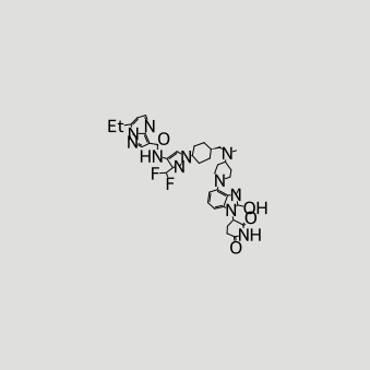 CCc1ccnc2c(C(=O)Nc3cn([C@H]4CC[C@H](CN(C)C5CCN(c6cccc7c6N(C)C(O)N7C6CCC(=O)NC6=O)CC5)CC4)nc3C(F)F)cnn12